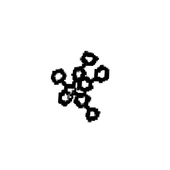 c1ccc(-c2ccc(C3=C(C4CCCCC4)c4cccc[n+]4[B-]3(c3ccc(-c4ccccc4)cc3)c3ccc(-c4ccccc4)cc3)cc2)cc1